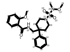 COc1ccccc1C(=O)NCC1(c2ccccc2)CCN(S(=O)(=O)N(C)OC)CC1